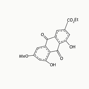 CCOC(=O)c1cc(O)c2c(c1)C(=O)c1cc(OC)cc(O)c1C2=O